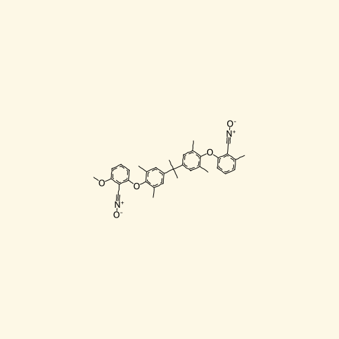 COc1cccc(Oc2c(C)cc(C(C)(C)c3cc(C)c(Oc4cccc(C)c4C#[N+][O-])c(C)c3)cc2C)c1C#[N+][O-]